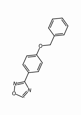 [c]1nc(-c2ccc(OCc3ccccc3)cc2)no1